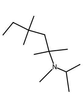 CCC(C)(C)CC(C)(C)N(C)C(C)C